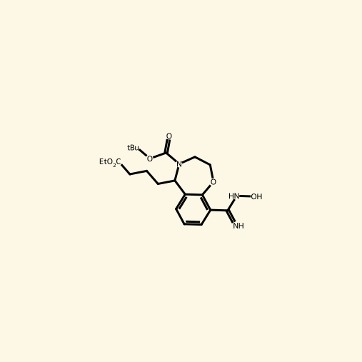 CCOC(=O)CCCC1c2cccc(C(=N)NO)c2OCCN1C(=O)OC(C)(C)C